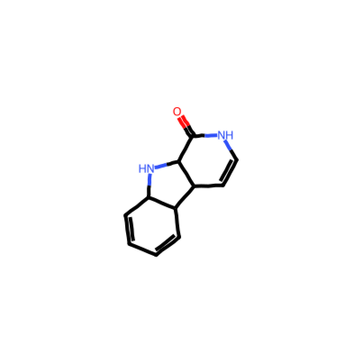 O=C1NC=CC2C1NC1C=CC=CC12